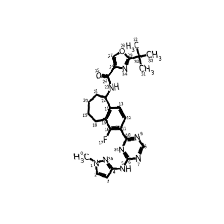 Cn1ccc(Nc2ncnc(-c3ccc4c(c3F)CCCCC4NC(=O)c3coc(C(C)(C)C)n3)n2)n1